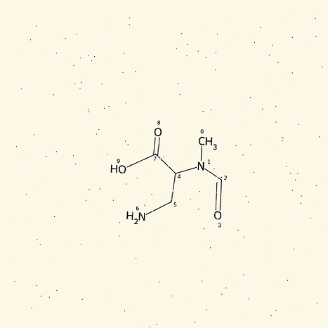 CN([C]=O)C(CN)C(=O)O